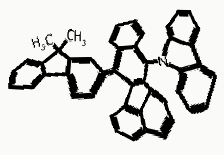 CC1(C)c2ccccc2-c2ccc(-c3c4c(c(-n5c6ccccc6c6ccccc65)c5ccccc35)-c3cccc5cccc-4c35)cc21